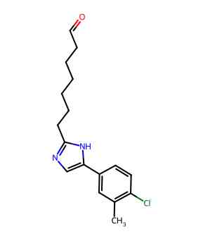 Cc1cc(-c2cnc(CCCCCCC=O)[nH]2)ccc1Cl